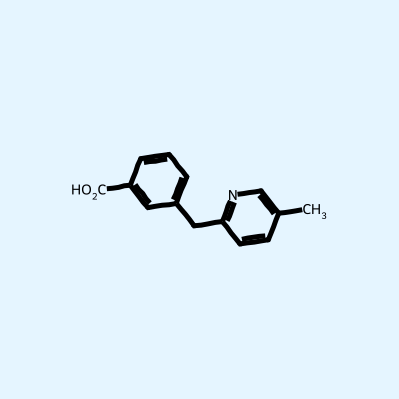 Cc1ccc(Cc2cccc(C(=O)O)c2)nc1